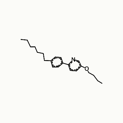 CCCCCCCc1ccc(-c2ccc(OCCCC)cn2)cc1